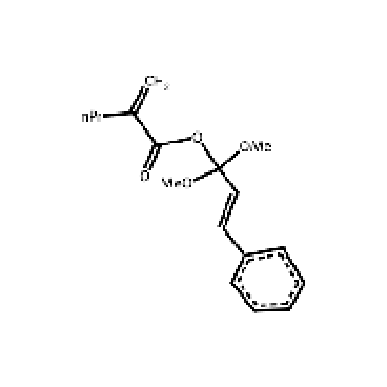 C=C(CCC)C(=O)OC(C=Cc1ccccc1)(OC)OC